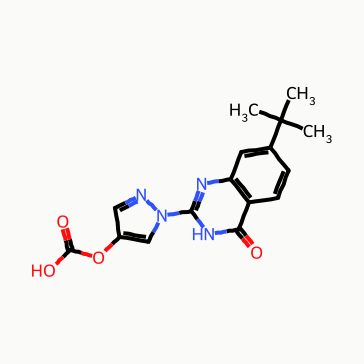 CC(C)(C)c1ccc2c(=O)[nH]c(-n3cc(OC(=O)O)cn3)nc2c1